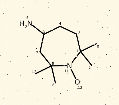 CC1(C)CCC(N)CC(C)(C)N1[O]